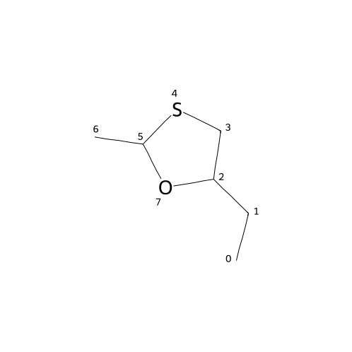 CCC1CSC(C)O1